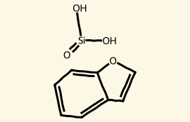 O=[Si](O)O.c1ccc2occc2c1